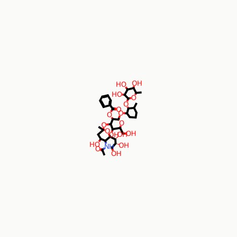 CC(=O)NC1C(O)CC(C)(OC2C(O)C(CO)OC(OC3CCCC(C)C3OC3OC(C)C(O)C(O)C3O)C2OC(=O)c2ccccc2)OC1[C@H](O)[C@H](O)CO